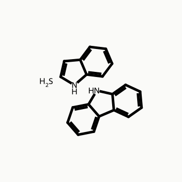 S.c1ccc2[nH]ccc2c1.c1ccc2c(c1)[nH]c1ccccc12